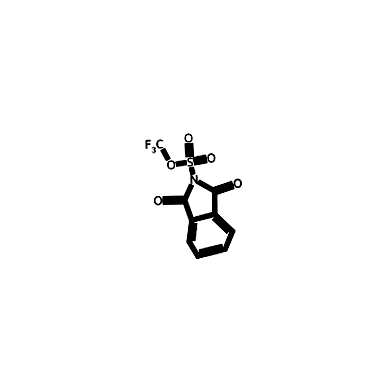 O=C1c2ccccc2C(=O)N1S(=O)(=O)OC(F)(F)F